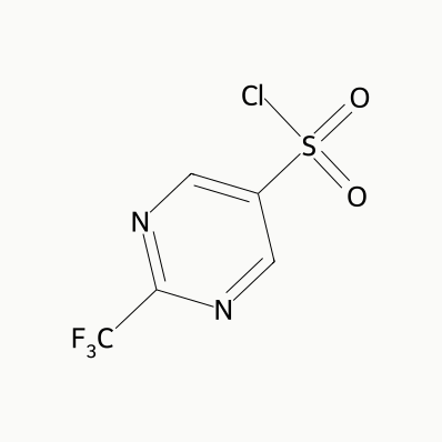 O=S(=O)(Cl)c1cnc(C(F)(F)F)nc1